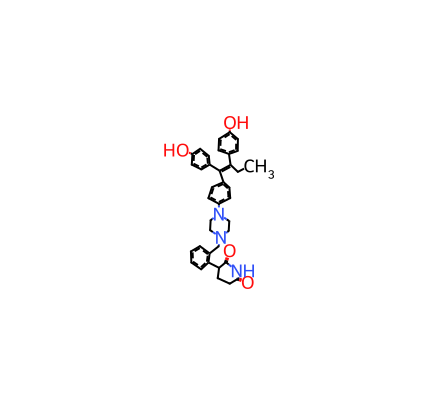 CCC(=C(c1ccc(O)cc1)c1ccc(N2CCN(Cc3ccccc3C3CCC(=O)NC3=O)CC2)cc1)c1ccc(O)cc1